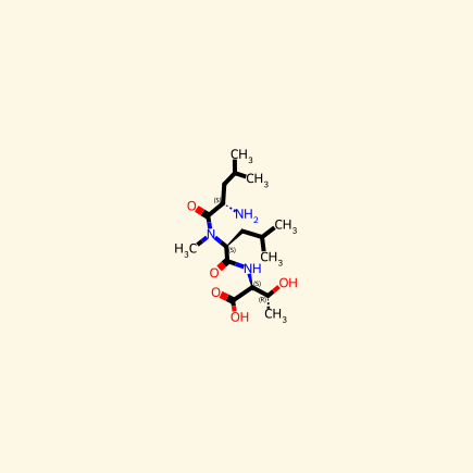 CC(C)C[C@H](N)C(=O)N(C)[C@@H](CC(C)C)C(=O)N[C@H](C(=O)O)[C@@H](C)O